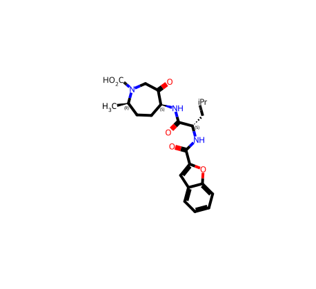 CC(C)C[C@H](NC(=O)c1cc2ccccc2o1)C(=O)N[C@H]1CC[C@@H](C)N(C(=O)O)CC1=O